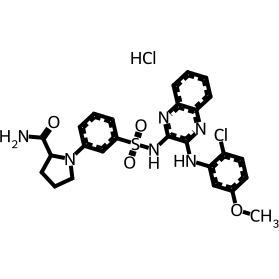 COc1ccc(Cl)c(Nc2nc3ccccc3nc2NS(=O)(=O)c2cccc(N3CCCC3C(N)=O)c2)c1.Cl